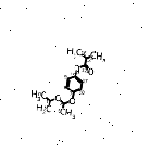 CC(C)OC(C)Oc1ccc(OC(=O)C(C)C)cc1